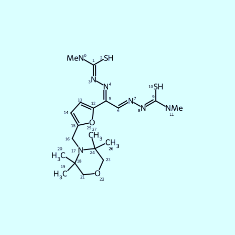 CN/C(S)=N/N=C(/C=N/N=C(\S)NC)c1ccc(CN2C(C)(C)COCC2(C)C)o1